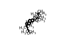 CC(C)[C@@H](N)C(=O)N[C@@H](C(=O)O[C@H]1CC[C@@]2(C)C(=CC[C@H]3[C@@H]4CC[C@H]([C@H](C)CCCC(C)(C)O)[C@@]4(C)CC[C@@H]32)C1)C(C)C